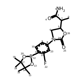 CC(C(N)=O)C1CN(c2ccc(B3OC(C)(C)C(C)(C)O3)c(F)c2)C(=O)O1